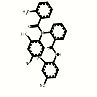 Cc1ccccc1C(=O)N(c1ccc(C#N)cc1C)c1ccccc1C(=O)Nc1ccc(C#N)cc1[N+](=O)[O-]